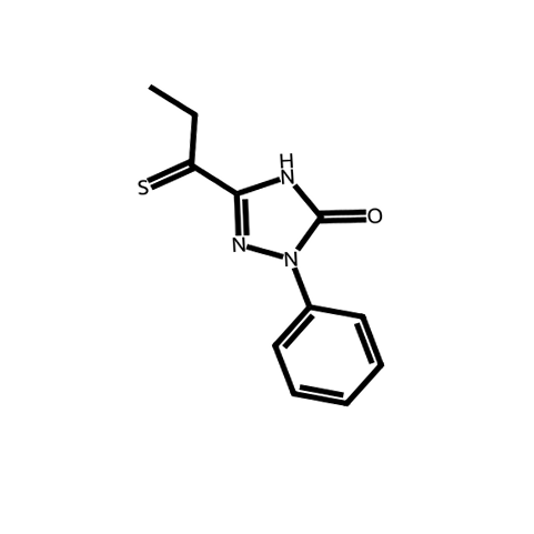 CCC(=S)c1nn(-c2ccccc2)c(=O)[nH]1